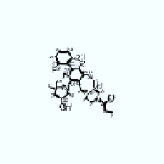 C=CC(=O)N1CCN2Cc3c(N4CC(O)CC4(C)C)nc(-c4c(O)cccc4F)c(Cl)c3OC[C@H]2C1